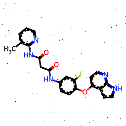 Cc1cccnc1NC(=O)CC(=O)Nc1ccc(Oc2ccnc3[nH]ccc23)c(F)c1